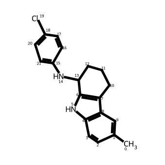 Cc1ccc2[nH]c3c(c2c1)CCCC3Nc1ccc(Cl)cc1